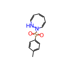 Cc1ccc(S(=O)(=O)n2cccccc[nH]2)cc1